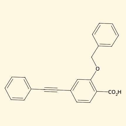 O=C(O)c1ccc(C#Cc2ccccc2)cc1OCc1ccccc1